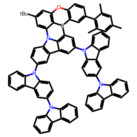 Cc1cc(C)c(-c2ccc3c(c2)B2c4c(cc(C(C)(C)C)cc4-n4c5ccc(-n6c7ccccc7c7cc(-n8c9ccccc9c9ccccc98)ccc76)cc5c5cc(-n6c7ccccc7c7cc(-n8c9ccccc9c9ccccc98)ccc76)cc2c54)O3)c(C)c1